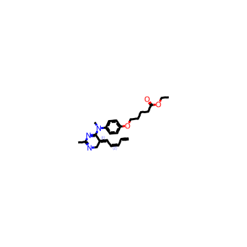 C=C/C=C\C=C1/CN=C(C)N=C1N(C)c1ccc(OCCCCC(=O)OCC)cc1